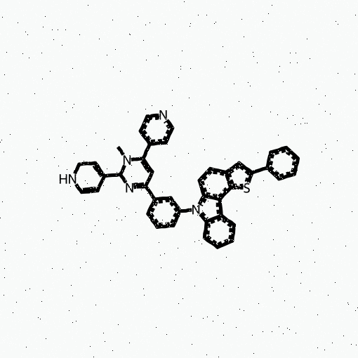 CN1C(c2ccncc2)=CC(c2cccc(-n3c4ccccc4c4c5sc(-c6ccccc6)cc5ccc43)c2)=NC1C1=CCNC=C1